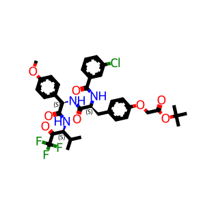 COc1ccc([C@H](NC(=O)[C@H](Cc2ccc(OCC(=O)OC(C)(C)C)cc2)NC(=O)c2cccc(Cl)c2)C(=O)N[C@H](C(=O)C(F)(F)F)C(C)C)cc1